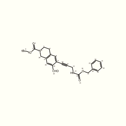 CC(C)(C)OC(=O)N1CCc2cc(C#CCNC(=O)OCc3ccccc3)c(C=O)cc2C1